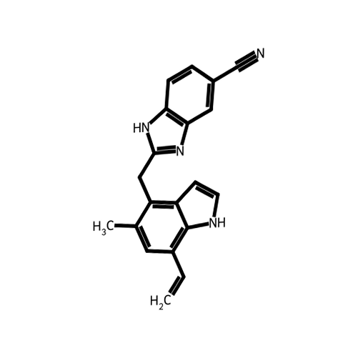 C=Cc1cc(C)c(Cc2nc3cc(C#N)ccc3[nH]2)c2cc[nH]c12